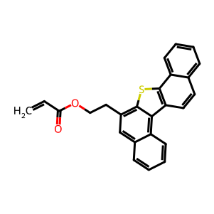 C=CC(=O)OCCc1cc2ccccc2c2c1sc1c3ccccc3ccc12